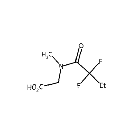 CCC(F)(F)C(=O)N(C)CC(=O)O